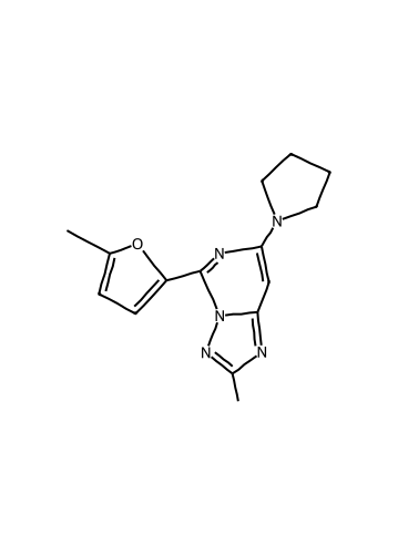 Cc1nc2cc(N3CCCC3)nc(-c3ccc(C)o3)n2n1